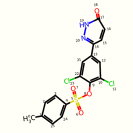 Cc1ccc(S(=O)(=O)Oc2c(Cl)cc(-c3ccc(=O)[nH]n3)cc2Cl)cc1